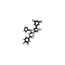 O=C(/N=C(\Nc1cc(-c2cc(F)cc(F)c2)[nH]n1)NC1CCCC1)c1ccc(F)c(F)c1